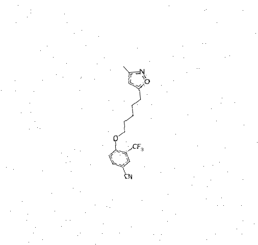 Cc1cc(CCCCCOc2ccc(C#N)cc2C(F)(F)F)on1